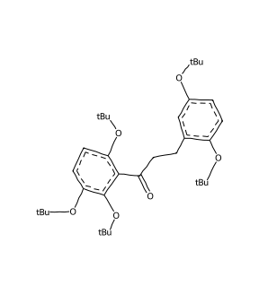 CC(C)(C)Oc1ccc(OC(C)(C)C)c(CCC(=O)c2c(OC(C)(C)C)ccc(OC(C)(C)C)c2OC(C)(C)C)c1